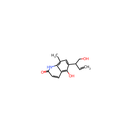 C=CC(CO)c1cc(C)c2[nH]c(=O)ccc2c1O